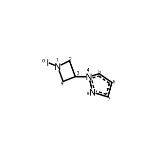 IN1CC(n2cccn2)C1